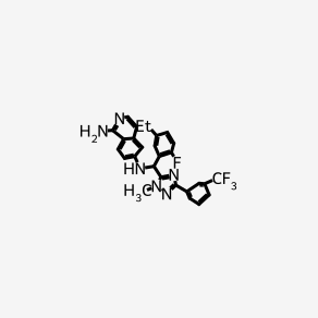 CCc1ccc(F)c(C(Nc2ccc3c(N)nccc3c2)c2nc(-c3cccc(C(F)(F)F)c3)nn2C)c1